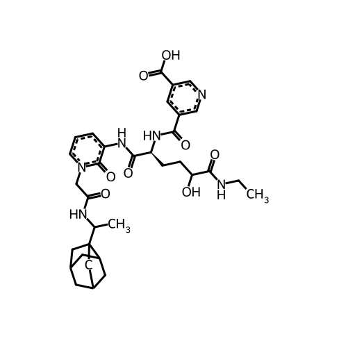 CCNC(=O)C(O)CC[C@H](NC(=O)c1cncc(C(=O)O)c1)C(=O)Nc1cccn(CC(=O)NC(C)C23CC4CC(CC2C4)C3)c1=O